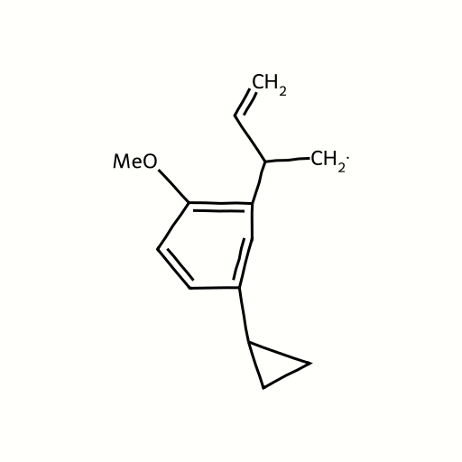 [CH2]C(C=C)c1cc(C2CC2)ccc1OC